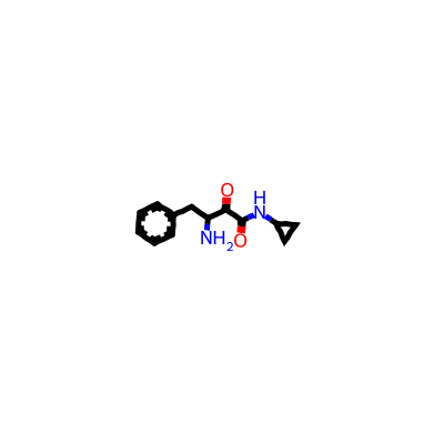 NC(Cc1ccccc1)C(=O)C(=O)NC1CC1